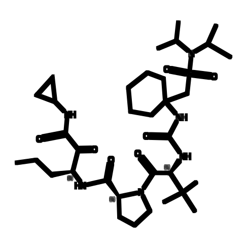 CCC[C@H](NC(=O)[C@@H]1CCCN1C(=O)[C@@H](NC(=O)NC1(CS(=O)(=O)N(C(C)C)C(C)C)CCCCC1)C(C)(C)C)C(=O)C(=O)NC1CC1